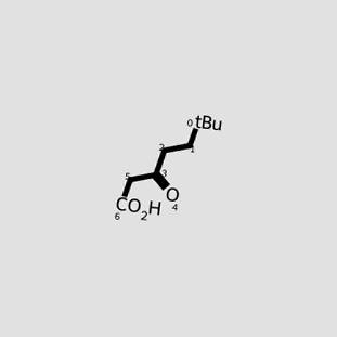 CC(C)(C)CCC(=O)CC(=O)O